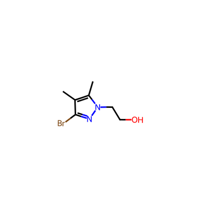 Cc1c(Br)nn(CCO)c1C